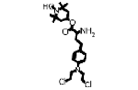 CC1(C)CC(OC(=O)C(N)CCc2ccc(N(CCCl)CCCl)cc2)CC(C)(C)N1O